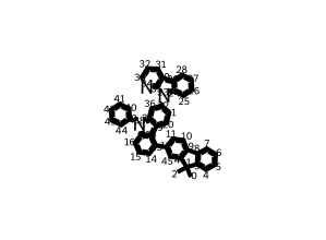 CC1(C)c2ccccc2-c2ccc(-c3cccc4c3c3ccc(-n5c6ccccc6c6cccnc65)cc3n4-c3ccccc3)cc21